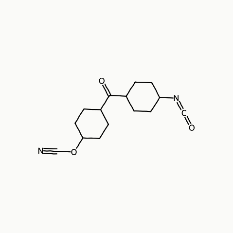 N#COC1CCC(C(=O)C2CCC(N=C=O)CC2)CC1